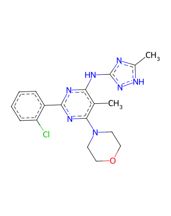 Cc1nc(Nc2nc(-c3ccccc3Cl)nc(N3CCOCC3)c2C)n[nH]1